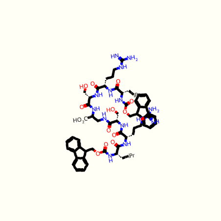 CC(C)C[C@H](NC(=O)OCC1c2ccccc2-c2ccccc21)C(=O)N[C@@H](CCCNC(=N)N)C(=O)N[C@@H](CO)C(=O)NCC(NC(=O)[C@H](CO)NC(=O)[C@H](CCCNC(=N)N)NC(=O)[C@H](CC(C)C)NC(=O)OCC1c2ccccc2-c2ccccc21)C(=O)O